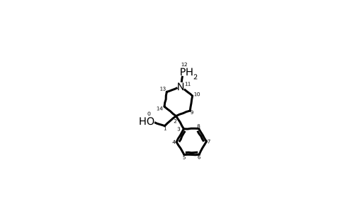 OCC1(c2ccccc2)CCN(P)CC1